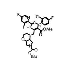 COC(=O)C1=C(CN2CCOC3CN(C(=O)OC(C)(C)C)CC32)NC(c2ncc(F)cc2F)=N[C@H]1c1ccc(F)cc1Cl